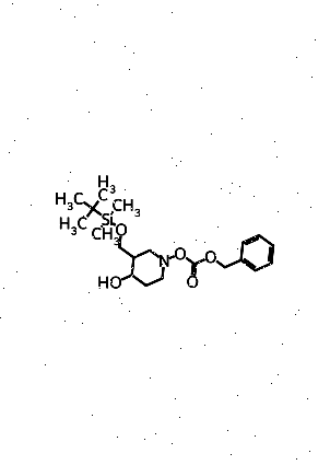 CC(C)(C)[Si](C)(C)OCC1CN(OC(=O)OCc2ccccc2)CCC1O